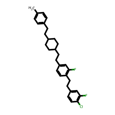 Cc1ccc(CCC2CCC(CCc3ccc(CCc4ccc(Cl)c(F)c4)c(F)c3)CC2)cc1